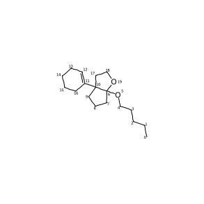 CCCCCOC12CCCC1(C1=CCCCC1)CCO2